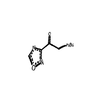 CCCCCC(=O)c1ncon1